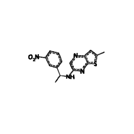 Cc1cc2ncc(NC(C)c3cccc([N+](=O)[O-])c3)nc2s1